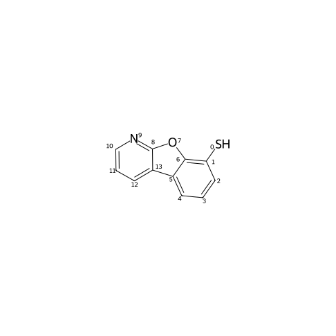 Sc1cccc2c1oc1ncccc12